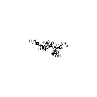 Nc1nc(C(=NOC2(C(=O)O)CC2)C(=O)N[C@@H]2C(=O)N(S(=O)(=O)O)[C@H]2Cn2ncc(CNC3CC(N)C3)n2)cs1